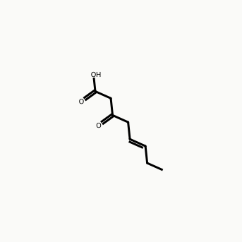 CCC=CCC(=O)CC(=O)O